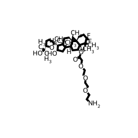 C[C@H]1[C@@]23CC[C@]4(C)[C@@H]([C@]5(C)CC[C@@H](C(C)(C)O)O5)[C@@H](O)C[C@@]4(C)[C@@H]2C[C@H](OC(=O)COCCOCCOCCN)[C@H]2C(C)(C)C(F)(F)CC[C@@]123